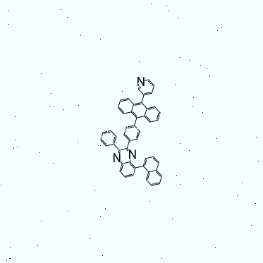 c1ccc(-c2nc3cccc(-c4cccc5ccccc45)c3nc2-c2ccc(-c3c4ccccc4c(-c4cccnc4)c4ccccc34)cc2)cc1